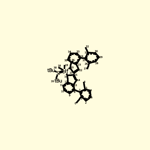 Cc1cccc(C)c1-c1cccc2c1C=C[CH]2[Hf]([CH3])([CH3])([CH]1C=Cc2c(-c3c(C)cccc3C)cccc21)=[Si](C(C)(C)C)C(C)(C)C